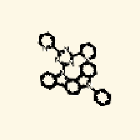 c1ccc(-n2c3ccccc3c3c2ccc2c4ccccc4n(-c4nc(-c5ccccn5)nc(-c5ccccn5)n4)c23)cc1